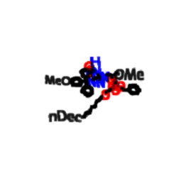 CCCCCCCCCCCCCCCCCCOCCOP(=O)(CO[C@H](COC)Cn1cnc2c(NC(c3ccccc3)(c3ccccc3)c3ccc(OC)cc3)nc(=O)[nH]c21)OCc1ccccc1